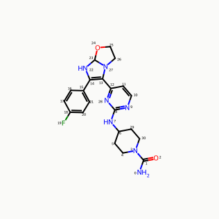 NC(=O)N1CCC(Nc2nccc(C3=C(c4ccc(F)cc4)NC4OCCN34)n2)CC1